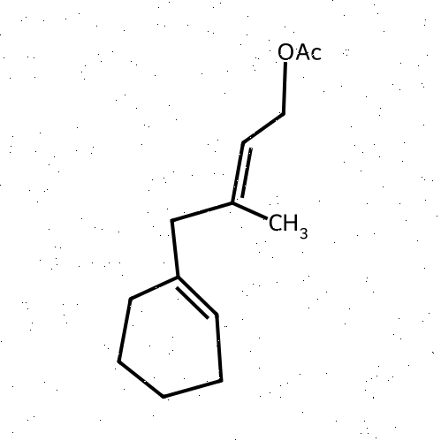 CC(=O)OC/C=C(\C)CC1=CCCCC1